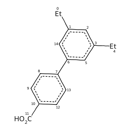 CCc1cc(CC)cc(-c2ccc(C(=O)O)cc2)c1